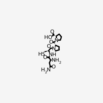 NC(=O)C[C@H](N)C(=O)N[C@@H](CS)C(=O)N1CCC[C@H]1C(=O)N1CCC[C@H]1C(=O)O